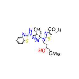 COCC(O)CCN(c1cc(C)c(Nc2nc3ccccc3s2)nn1)c1nc(C(=O)O)cs1